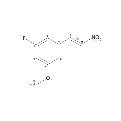 CCCOc1cc(F)cc(/C=C/[N+](=O)[O-])c1